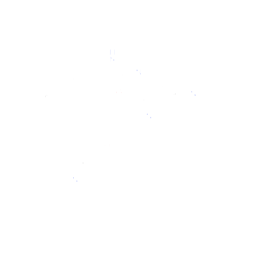 COc1ccccc1[N+](C)(O)C(=O)COc1cccc(N(CC(=O)N(C)c2ccccc2)C(=O)CN(C)C(=O)Nc2cccc(CC(=O)O)c2)c1